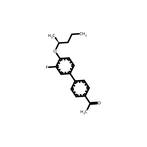 CCC[C@H](C)Oc1ccc(-c2ccc(C(C)=O)cc2)cc1F